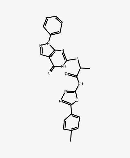 Cc1ccc(-c2nnc(NC(=O)C(C)Sc3nc4c(cnn4-c4ccccc4)c(=O)[nH]3)s2)cc1